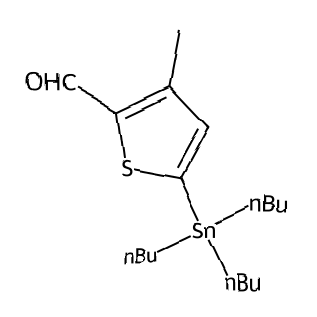 CCC[CH2][Sn]([CH2]CCC)([CH2]CCC)[c]1cc(C)c(C=O)s1